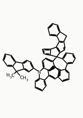 CC1(C)c2ccccc2-c2ccc(N(c3ccc4c(c3)-c3ccccc3-c3ccccc3C43c4ccccc4-c4c3ccc3c4-c4ccccc4C3)c3ccccc3-c3ccccc3)cc21